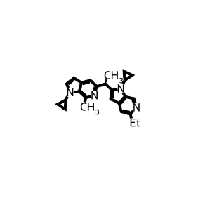 CCc1cc2cc([C@H](C)c3cc4ccn(C5CC5)c4c(C)n3)n(C3CC3)c2cn1